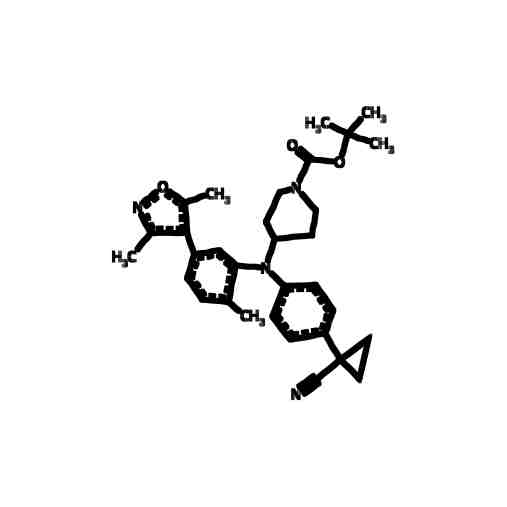 Cc1ccc(-c2c(C)noc2C)cc1N(c1ccc(C2(C#N)CC2)cc1)C1CCN(C(=O)OC(C)(C)C)CC1